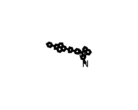 N#Cc1ccc(N(c2ccc(-c3ccc(-c4cc5ccc6cc(-c7ccccc7)cc7ccc(c4)c5c67)cc3)cc2)c2cccc3ccccc23)cc1